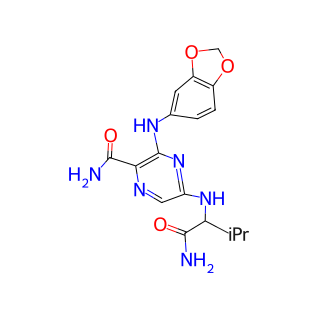 CC(C)C(Nc1cnc(C(N)=O)c(Nc2ccc3c(c2)OCO3)n1)C(N)=O